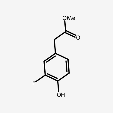 COC(=O)Cc1ccc(O)c(F)c1